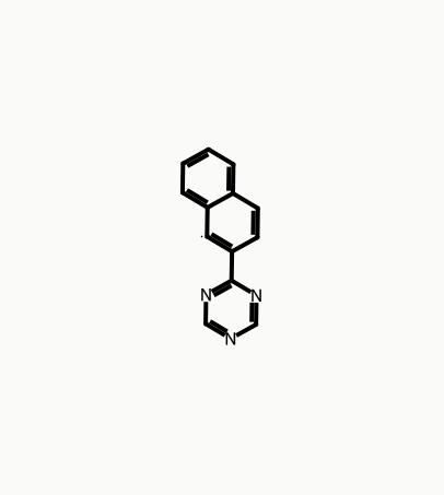 [c]1c(-c2ncncn2)ccc2ccccc12